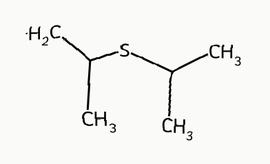 [CH2]C(C)SC(C)C